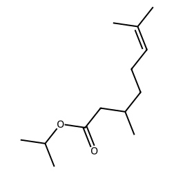 CC(C)=CCCC(C)CC(=O)OC(C)C